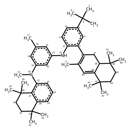 CC1=C(c2cc(C(C)(C)C)ccc2Nc2cc(C)cc(N(C)c3cccc4c3C(C)(C)CCC4(C)C)c2)CC2C(=C1)C(C)(C)CCC2(C)C